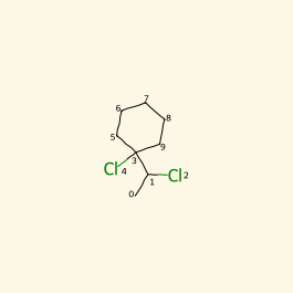 CC(Cl)C1(Cl)CCCCC1